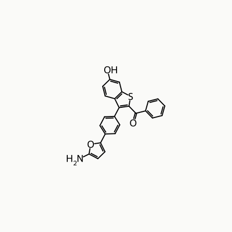 Nc1ccc(-c2ccc(-c3c(C(=O)c4ccccc4)sc4cc(O)ccc34)cc2)o1